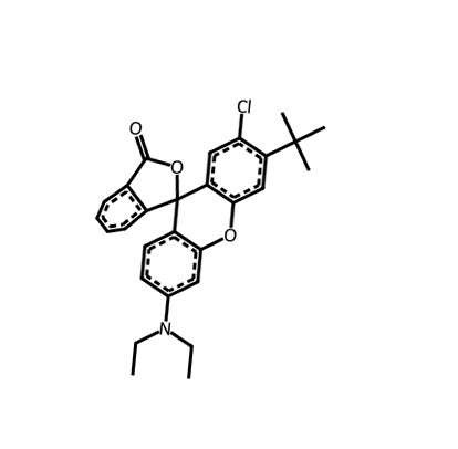 CCN(CC)c1ccc2c(c1)Oc1cc(C(C)(C)C)c(Cl)cc1C21OC(=O)c2ccccc21